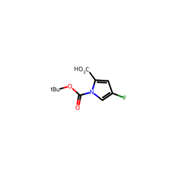 CC(C)(C)OC(=O)n1cc(F)cc1C(=O)O